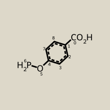 O=C(O)c1ccc(OP)cc1